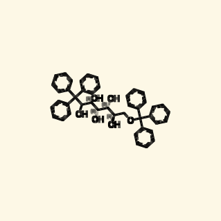 OC([C@@H](O)[C@@H](O)[C@H](O)[C@H](O)COC(c1ccccc1)(c1ccccc1)c1ccccc1)C(c1ccccc1)(c1ccccc1)c1ccccc1